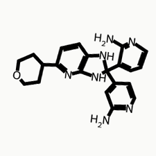 Nc1cc(C2(c3cccnc3N)Nc3ccc(C4CCOCC4)nc3N2)ccn1